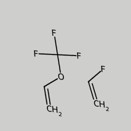 C=CF.C=COC(F)(F)F